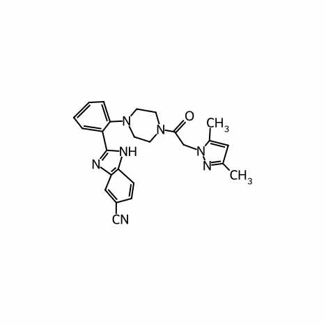 Cc1cc(C)n(CC(=O)N2CCN(c3ccccc3-c3nc4cc(C#N)ccc4[nH]3)CC2)n1